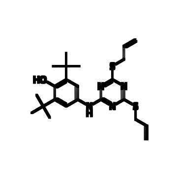 C=CCSc1nc(Nc2cc(C(C)(C)C)c(O)c(C(C)(C)C)c2)nc(SCC=C)n1